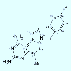 Nc1nc(N)c2c(n1)c(Br)cc1c2ccn1Cc1ccc(F)cc1